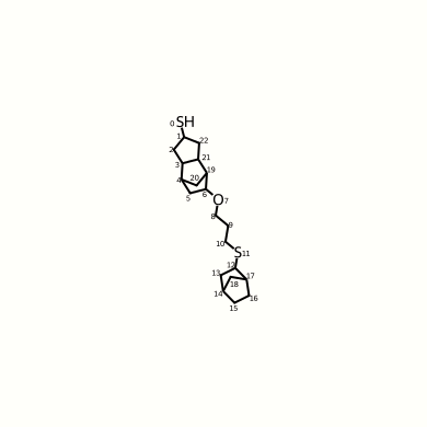 SC1CC2C3CC(OCCCSC4CC5CCC4C5)C(C3)C2C1